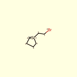 BrCC[SiH]1CCCC1